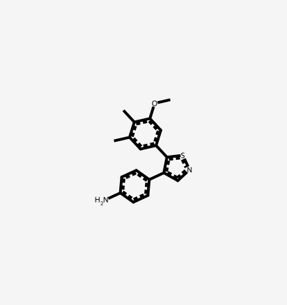 COc1cc(-c2sncc2-c2ccc(N)cc2)cc(C)c1C